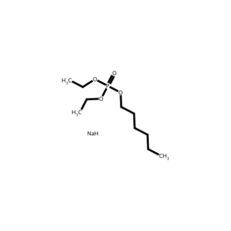 CCCCCCOP(=O)(OCC)OCC.[NaH]